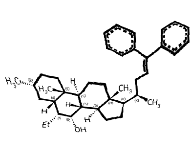 CC[C@H]1[C@@H](O)[C@@H]2[C@H](CC[C@]3(C)[C@@H]([C@H](C)CC=C(c4ccccc4)c4ccccc4)CC[C@@H]23)[C@@]2(C)CC[C@@H](C)C[C@@H]12